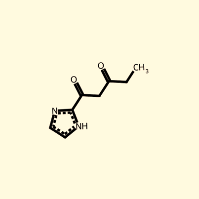 CCC(=O)CC(=O)c1ncc[nH]1